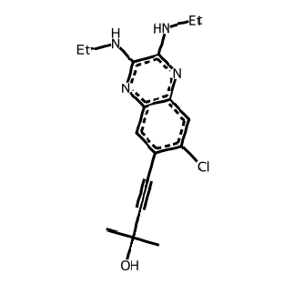 CCNc1nc2cc(Cl)c(C#CC(C)(C)O)cc2nc1NCC